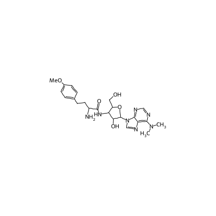 COc1ccc(CCC(N)C(=O)NC2C(CO)OC(n3cnc4c(N(C)C)ncnc43)C2O)cc1